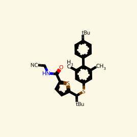 Cc1cc(SC(c2ccc(C(=O)NCC#N)s2)C(C)(C)C)cc(C)c1-c1ccc(C(C)(C)C)cc1